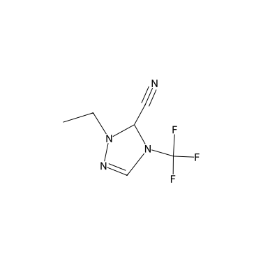 CCN1N=CN(C(F)(F)F)C1C#N